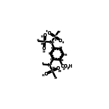 CN(c1cc(N(S(C)(=O)=O)S(C)(=O)=O)ccc1C(=O)O)S(C)(=O)=O